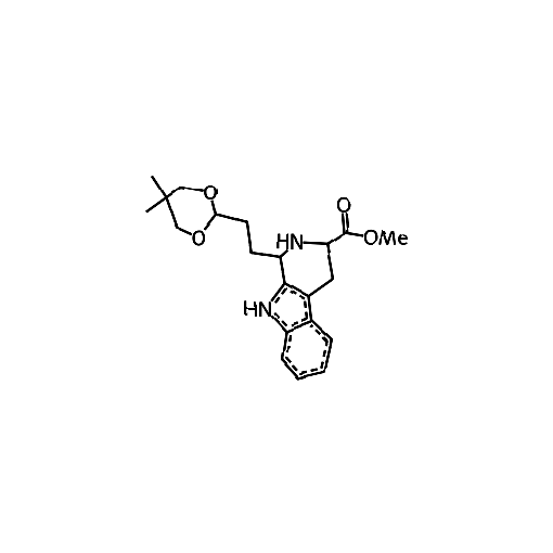 COC(=O)C1Cc2c([nH]c3ccccc23)C(CCC2OCC(C)(C)CO2)N1